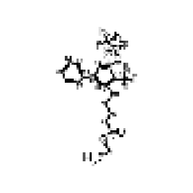 CCOC(=O)CCCCc1cc(-c2ccccc2)cc(OS(=O)(=O)C(F)(F)F)c1C(F)(F)F